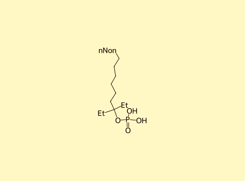 CCCCCCCCCCCCCCCC(CC)(CC)OP(=O)(O)O